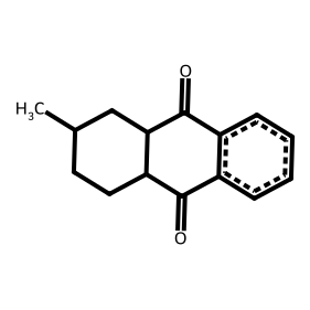 CC1CCC2C(=O)c3ccccc3C(=O)C2C1